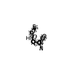 Cc1ccc(NC(=O)N2CC[C@@H](CC(F)(F)F)C2)cc1-c1cc(C#N)nc(N2CCOCC2)c1